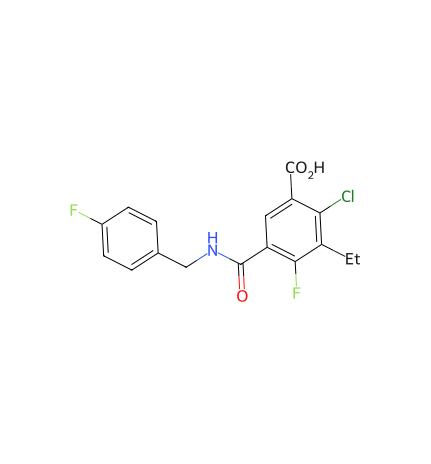 CCc1c(F)c(C(=O)NCc2ccc(F)cc2)cc(C(=O)O)c1Cl